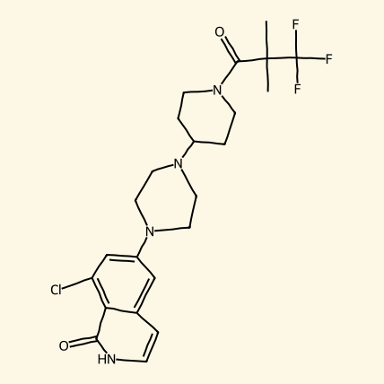 CC(C)(C(=O)N1CCC(N2CCN(c3cc(Cl)c4c(=O)[nH]ccc4c3)CC2)CC1)C(F)(F)F